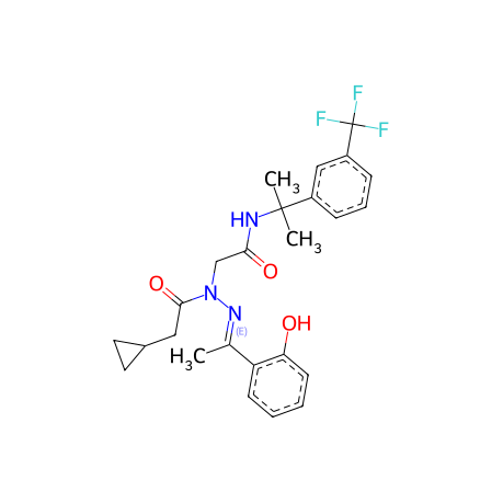 C/C(=N\N(CC(=O)NC(C)(C)c1cccc(C(F)(F)F)c1)C(=O)CC1CC1)c1ccccc1O